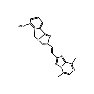 COc1cccc2c1Cn1cc(C=Cc3nc4c(C)ncc(C)n4n3)nc1-2